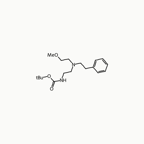 COCCN(CCNC(=O)OC(C)(C)C)CCc1ccccc1